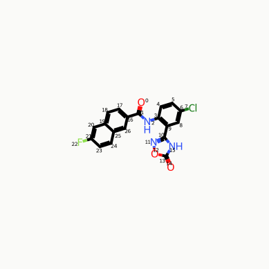 O=C(Nc1ccc(Cl)cc1-c1noc(=O)[nH]1)c1ccc2cc(F)ccc2c1